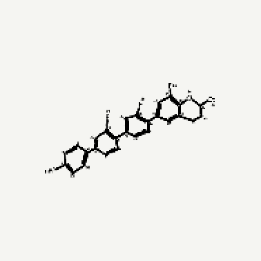 CCCc1ccc(-c2ccc(-c3ccc(-c4cc(F)c5c(c4)CCC(CC)O5)c(F)c3)c(F)c2)cc1